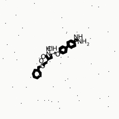 Cl.N=C(N)c1ccc(-c2ccc(OC[C@@H]3C[C@@H](CC(=O)OCC4CCCCCC4)C(=O)N3)cc2)cc1